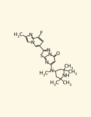 Cc1cn2cc(-c3nn4c(=O)cc(N(C)C5CC(C)(C)NC(C)(C)C5)nc4s3)cc(F)c2n1